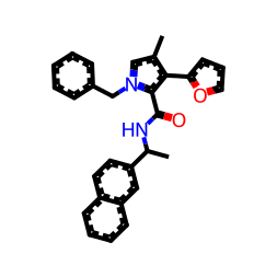 Cc1cn(Cc2ccccc2)c(C(=O)NC(C)c2ccc3ccccc3c2)c1-c1ccco1